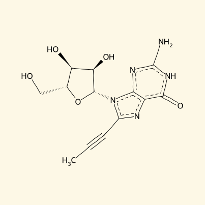 CC#Cc1nc2c(=O)[nH]c(N)nc2n1[C@@H]1O[C@H](CO)[C@@H](O)[C@H]1O